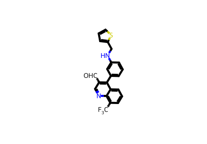 O=Cc1cnc2c(C(F)(F)F)cccc2c1-c1cccc(NCc2cccs2)c1